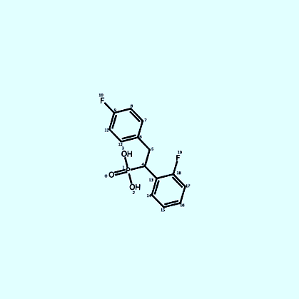 O=P(O)(O)C(Cc1ccc(F)cc1)c1ccccc1F